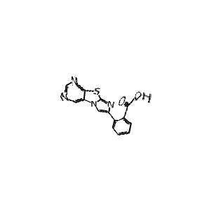 O=C(O)c1ccccc1-c1cn2c(n1)sc1ncncc12